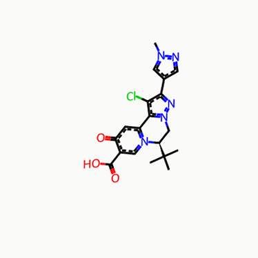 Cn1cc(-c2nn3c(c2Cl)-c2cc(=O)c(C(=O)O)cn2[C@H](C(C)(C)C)C3)cn1